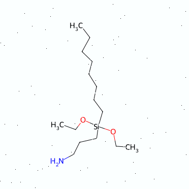 CCCCCCCC[Si](CCCN)(OCC)OCC